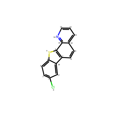 Clc1ccc2sc3c(ccc4cccnc43)c2c1